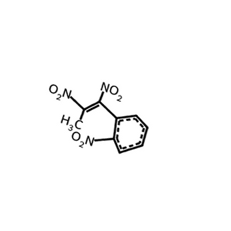 CC(=C(c1ccccc1[N+](=O)[O-])[N+](=O)[O-])[N+](=O)[O-]